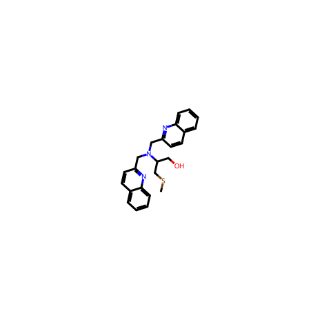 CSCC(CO)N(Cc1ccc2ccccc2n1)Cc1ccc2ccccc2n1